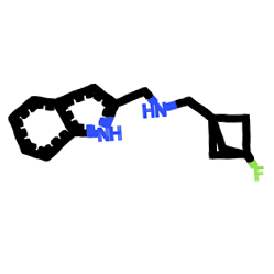 FC12CC(CNCc3cc4ccccc4[nH]3)(C1)C2